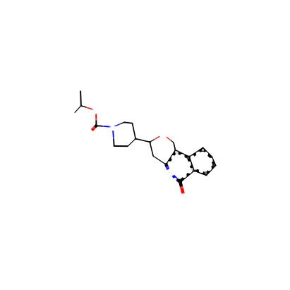 CC(C)OC(=O)N1CCC(C2Cc3[nH]c(=O)c4ccccc4c3CO2)CC1